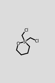 ClC[Si]1(CCl)CCCCO1